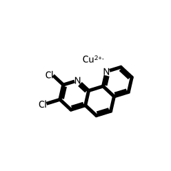 Clc1cc2ccc3cccnc3c2nc1Cl.[Cu+2]